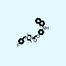 C[C@@H]1CN(C(=O)COc2ccc(Nc3ccc4ccccc4c3)cc2)[C@@H](C)CN1Cc1ccc(F)cc1